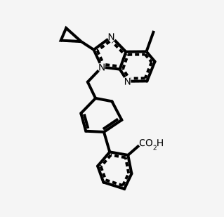 Cc1ccnc2c1nc(C1CC1)n2CC1C=CC(c2ccccc2C(=O)O)=CC1